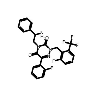 NC(Cn1c(=O)c(-c2ccccc2F)nn(Cc2c(F)cccc2C(F)(F)F)c1=O)c1ccccc1